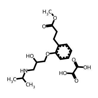 COC(=O)CCc1ccccc1OCC(O)CNC(C)C.O=C(O)C(=O)O